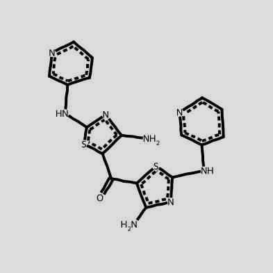 Nc1nc(Nc2cccnc2)sc1C(=O)c1sc(Nc2cccnc2)nc1N